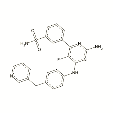 Nc1nc(Nc2ccc(Cc3cccnc3)cc2)c(F)c(-c2cccc(S(N)(=O)=O)c2)n1